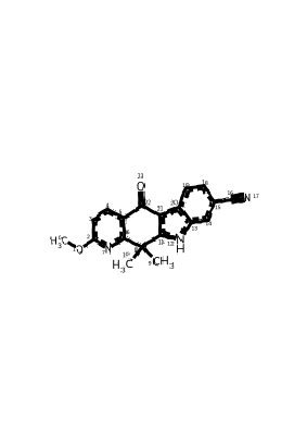 COc1ccc2c(n1)C(C)(C)c1[nH]c3cc(C#N)ccc3c1C2=O